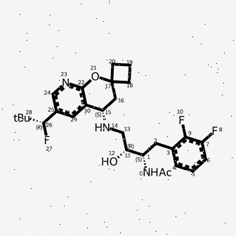 CC(=O)N[C@@H](Cc1cccc(F)c1F)[C@H](O)CN[C@H]1CC2(CCC2)Oc2ncc([C@H](F)C(C)(C)C)cc21